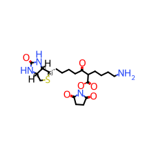 NCCCCC(C(=O)CCCC[C@@H]1SC[C@@H]2NC(=O)N[C@@H]21)C(=O)ON1C(=O)CCC1=O